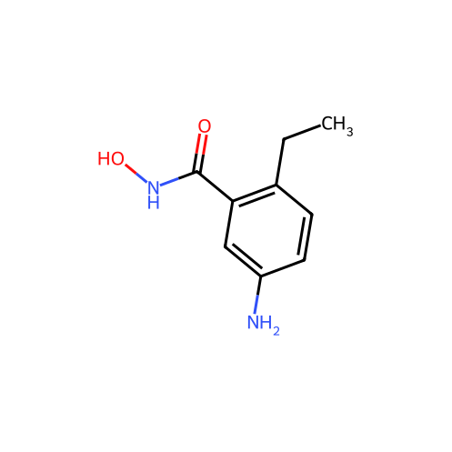 CCc1ccc(N)cc1C(=O)NO